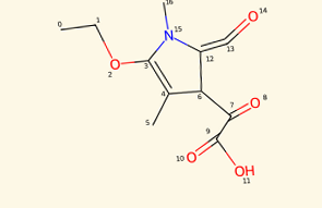 CCOC1=C(C)C(C(=O)C(=O)O)C(=C=O)N1C